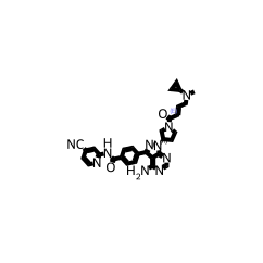 CN(C/C=C/C(=O)N1CC[C@@H](n2nc(-c3ccc(C(=O)Nc4cc(C#N)ccn4)cc3)c3c(N)ncnc32)C1)C1CC1